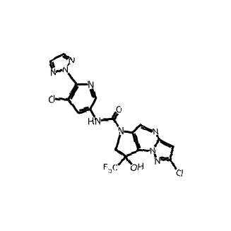 O=C(Nc1cnc(-n2nccn2)c(Cl)c1)N1CC(O)(C(F)(F)F)c2c1cnc1cc(Cl)nn21